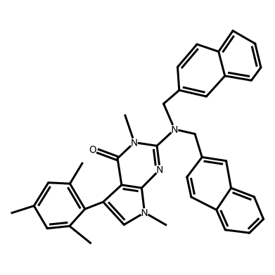 Cc1cc(C)c(-c2cn(C)c3nc(N(Cc4ccc5ccccc5c4)Cc4ccc5ccccc5c4)n(C)c(=O)c23)c(C)c1